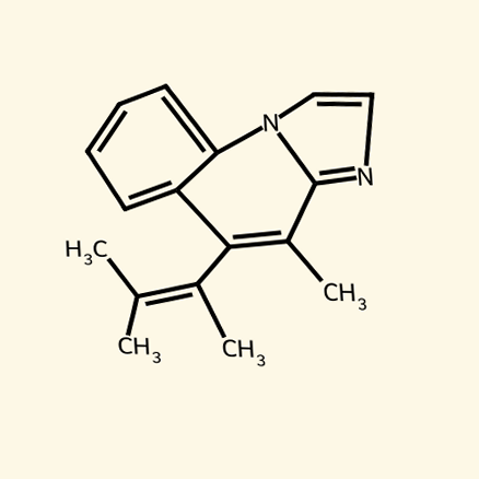 CC(C)=C(C)c1c(C)c2nccn2c2ccccc12